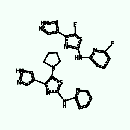 Fc1cccc(Nc2nc(-c3cn[nH]c3)c(F)s2)n1.c1ccc(Nc2nc(-c3cn[nH]c3)c(N3CCCC3)s2)nc1